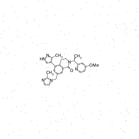 COc1ccnc([C@H](C)N2CCc3c(cc(Cn4ccnc4C)cc3-c3c[nH]nc3C)C2=O)c1